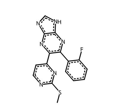 CSc1nccc(-c2nc3nc[nH]c3nc2-c2ccccc2F)n1